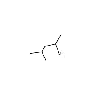 CC(C)CC(C)[NH]